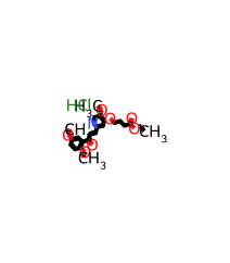 CCOC(=O)CCCOc1cc(C=CC(=O)c2cc(OC)ccc2OC)ncc1OC.Cl